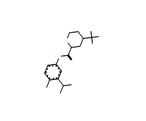 Cc1ccc(NC(=O)C2CC(C(F)(F)F)CCN2)cc1C(C)C